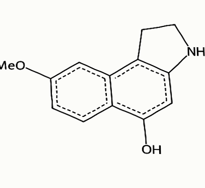 COc1ccc2c(O)cc3c(c2c1)CCN3